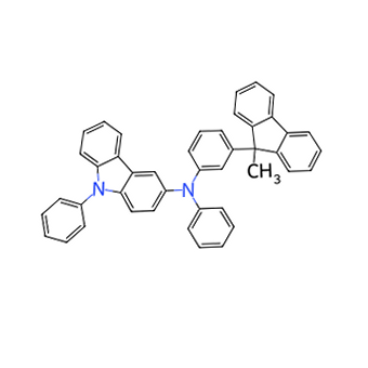 CC1(c2cccc(N(c3ccccc3)c3ccc4c(c3)c3ccccc3n4-c3ccccc3)c2)c2ccccc2-c2ccccc21